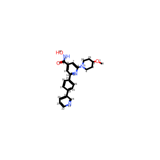 COC1CCN(c2cc(C(=O)NO)cc(-c3ccc(-c4cccnc4)cc3)n2)CC1